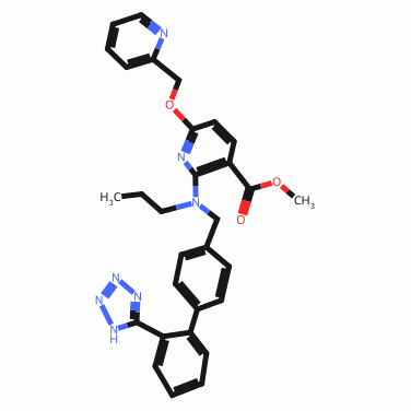 CCCN(Cc1ccc(-c2ccccc2-c2nnn[nH]2)cc1)c1nc(OCc2ccccn2)ccc1C(=O)OC